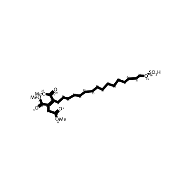 COC(=O)CC(C(=O)OC)=C(CCCCCCCCCCCCCCCCOS(=O)(=O)O)C(=O)OC